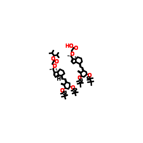 C=C1C(=CC=C2CCC[C@]3(C)C([C@H](C)OCC(=O)O)=CCC23)C[C@@H](O[Si](C)(C)C(C)(C)C)C[C@@H]1O[Si](C)(C)C(C)(C)C.C=C1C(=CC=C2CCC[C@]3(C)C([C@H](C)OCC(=O)OC(C(C)C)C(C)C)=CC[C@@H]23)C[C@@H](O[Si](C)(C)C(C)(C)C)C[C@@H]1O[Si](C)(C)C(C)(C)C